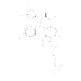 Cc1cc(-c2c(-c3ccc(Br)cc3)c3c4cc(Cl)n(COCCS(C)(C)C)c4ncc3n(C)c2=O)on1